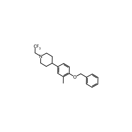 Cc1cc(C2CCN(CC(F)(F)F)CC2)ccc1OCc1ccccc1